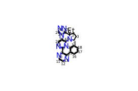 CCC12CCCN1c1nc(-c3nccnc3-c3ccccc3)ncc1-n1cnnc12